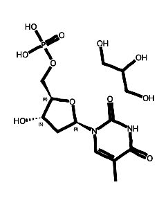 Cc1cn([C@H]2C[C@H](O)[C@@H](COP(=O)(O)O)O2)c(=O)[nH]c1=O.OCC(O)CO